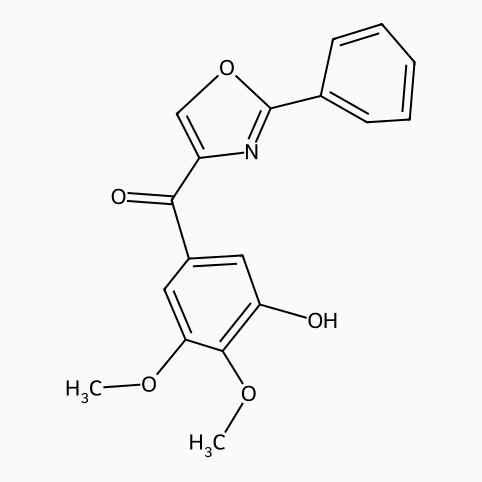 COc1cc(C(=O)c2coc(-c3ccccc3)n2)cc(O)c1OC